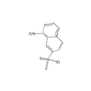 O=[N+]([O-])c1cccc2ccc(S(=O)(=O)Cl)cc12